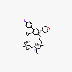 C/C=C(/CCCC(C)(CCC)C(C)=O)C[C@@](C)(CC)CCCC1=CC(C2CC2)=C(c2ccc(I)cc2)C[C@@H]1C1CCOCC1